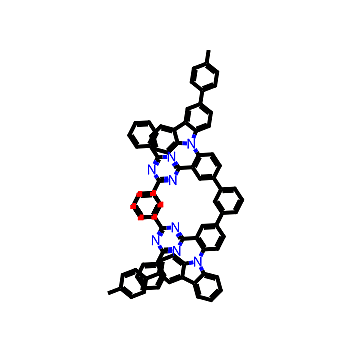 Cc1ccc(-c2ccc3c(c2)c2ccccc2n3-c2ccc(-c3cccc(-c4ccc(-n5c6ccccc6c6cc(-c7ccc(C)cc7)ccc65)c(-c5nc(-c6ccccc6)nc(-c6ccccc6)n5)c4)c3)cc2-c2nc(-c3ccccc3)nc(-c3ccccc3)n2)cc1